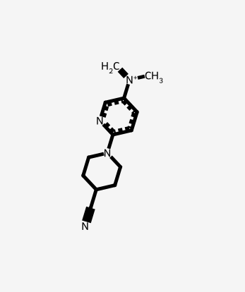 C=[N+](C)c1ccc(N2CCC(C#N)CC2)nc1